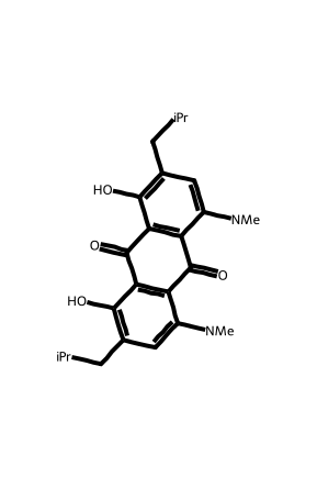 CNc1cc(CC(C)C)c(O)c2c1C(=O)c1c(NC)cc(CC(C)C)c(O)c1C2=O